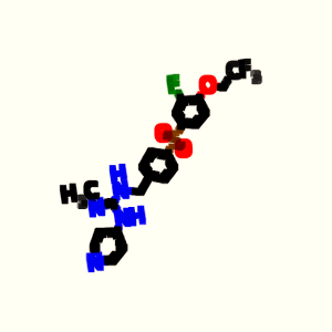 C/N=C(\NCc1ccc(S(=O)(=O)c2ccc(OCC(F)(F)F)c(F)c2)cc1)Nc1ccncc1